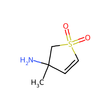 CC1(N)C=CS(=O)(=O)C1